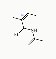 C=C(C)NC(CC)/C(C)=C\C